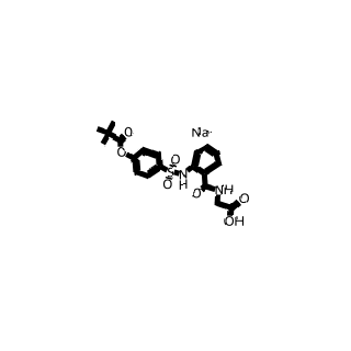 CC(C)(C)C(=O)Oc1ccc(S(=O)(=O)Nc2ccccc2C(=O)NCC(=O)O)cc1.[Na]